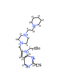 CC(C)(C)Cn1c(CN2CCN(CCN3CCCCC3)CC2)cc2cnc(C#N)nc21